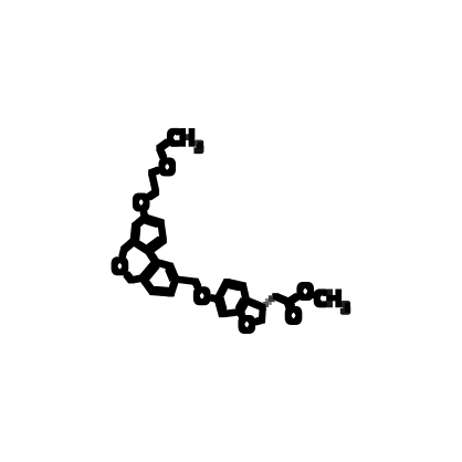 CCOCCOc1ccc2c(c1)COCc1ccc(COc3ccc4c(c3)OC[C@H]4CC(=O)OC)cc1-2